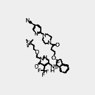 C[Si](C)(C)CCOCn1ncc(N[C@H]2c3ccccc3C[C@@H]2OCCC(=O)N2CCN(c3ccc(C#N)cn3)CC2)c(C(F)(F)F)c1=O